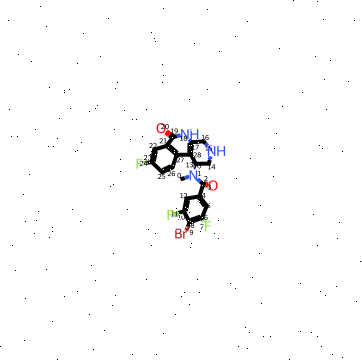 CN(C(=O)c1cc(F)c(Br)c(F)c1)[C@H]1CNCc2[nH]c(=O)c3cc(F)ccc3c21